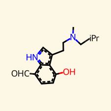 CC(C)CN(C)CCc1c[nH]c2c(C=O)ccc(O)c12